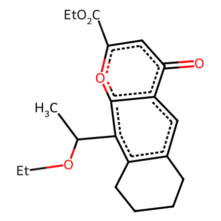 CCOC(=O)c1cc(=O)c2cc3c(c(C(C)OCC)c2o1)CCCC3